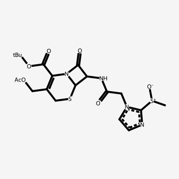 CC(=O)OCC1=C(C(=O)OC(C)(C)C)N2C(=O)C(NC(=O)Cn3ccnc3[S+](C)[O-])C2SC1